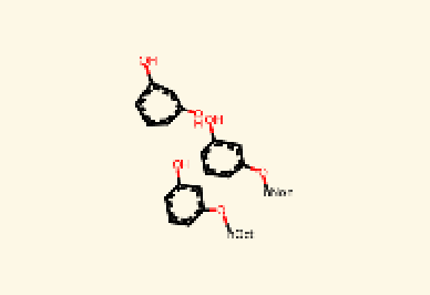 CCCCCCCCCOc1cccc(O)c1.CCCCCCCCOc1cccc(O)c1.Oc1cccc(O)c1